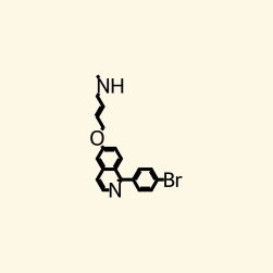 CNCC=CCOc1ccc2c(-c3ccc(Br)cc3)nccc2c1